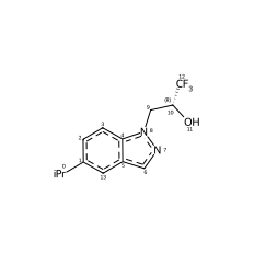 CC(C)c1ccc2c(cnn2C[C@@H](O)C(F)(F)F)c1